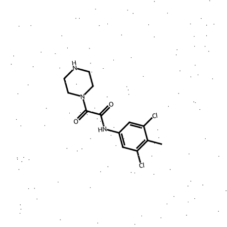 Cc1c(Cl)cc(NC(=O)C(=O)N2CCNCC2)cc1Cl